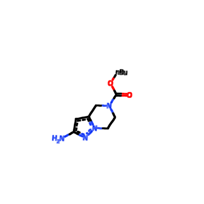 CCCCOC(=O)N1CCn2nc(N)cc2C1